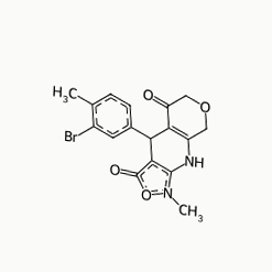 Cc1ccc(C2C3=C(COCC3=O)Nc3c2c(=O)on3C)cc1Br